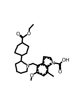 CCOC(=O)C1CCC(C2CCCCN2Cc2c(OC)cc(C)c3c2ccn3C(=O)O)CC1